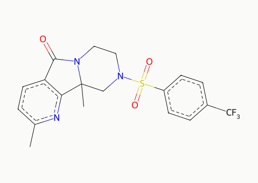 Cc1ccc2c(n1)C1(C)CN(S(=O)(=O)c3ccc(C(F)(F)F)cc3)CCN1C2=O